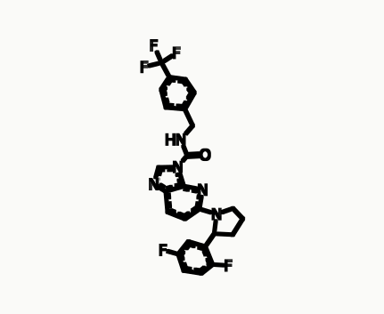 O=C(NCc1ccc(C(F)(F)F)cc1)n1cnc2ccc(N3CCCC3c3cc(F)ccc3F)nc21